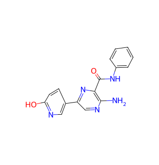 Nc1ncc(-c2ccc(O)nc2)nc1C(=O)Nc1ccccc1